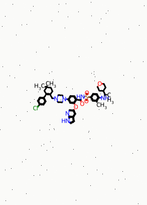 Cc1cc(S(=O)(=O)NC(=O)c2ccc(N3CCN(CC4=C(c5ccc(Cl)cc5)CC(C)(C)CC4)CC3)cc2Oc2cnc3[nH]ccc3c2)ccc1N[C@H](C)C1CCOCC1